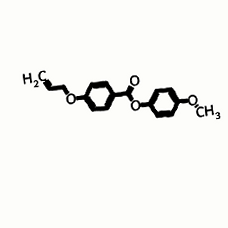 C=CCOc1ccc(C(=O)Oc2ccc(OC)cc2)cc1